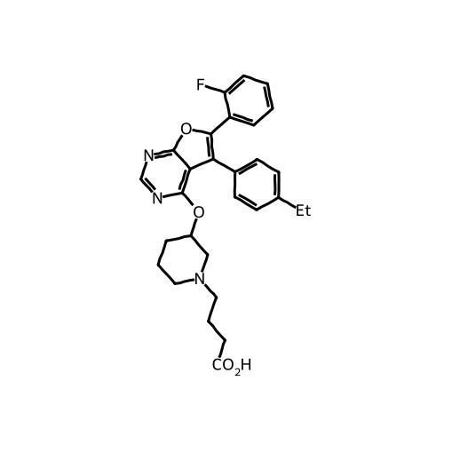 CCc1ccc(-c2c(-c3ccccc3F)oc3ncnc(OC4CCCN(CCCC(=O)O)C4)c23)cc1